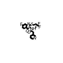 O=C(Cc1cccnc1)Nn1c(SCCC(F)(F)F)nc2cc(F)ccc2c1=O